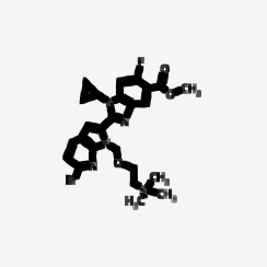 COC(=O)c1cc2nc(-c3cc4ccc(Br)nc4n3COCC[Si](C)(C)C)n(C3CC3)c2cc1F